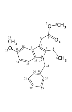 CCc1c(CC(=O)OC)c2cc(OC)ccc2n1Cc1ccccc1